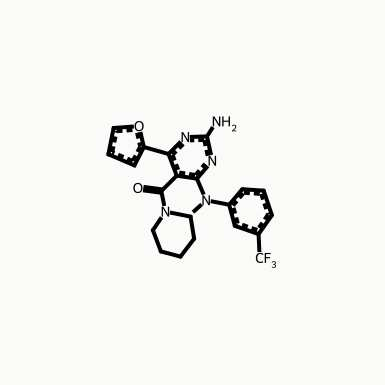 CN(c1cccc(C(F)(F)F)c1)c1nc(N)nc(-c2ccco2)c1C(=O)N1CCCCC1